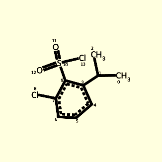 CC(C)c1cccc(Cl)c1S(=O)(=O)Cl